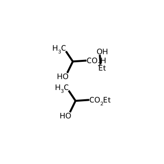 CC(O)C(=O)O.CCO.CCOC(=O)C(C)O